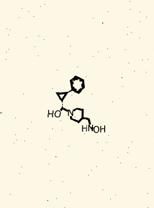 ONCC1CCN(C(O)[C@@H]2C[C@H]2c2ccccc2)CC1